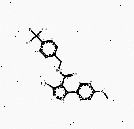 COc1ccc(-c2noc(N)c2C(=O)NCc2ccc(C(F)(F)F)cc2)cn1